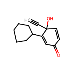 C#CC1(O)C=CC(=O)C=C1C1CCCCC1